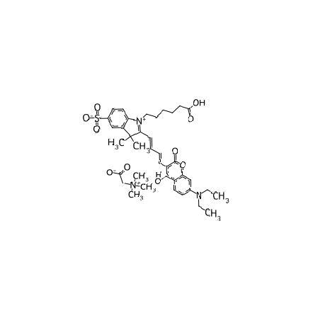 CCN(CC)c1ccc2c(O)c(/C=C/C=C/C3=[N+](CCCCCC(=O)O)c4ccc(S(=O)(=O)[O-])cc4C3(C)C)c(=O)oc2c1.C[N+](C)(C)CC(=O)[O-]